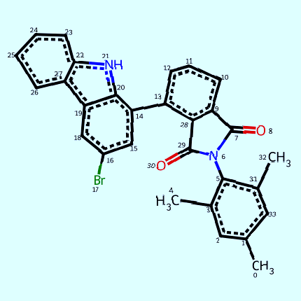 Cc1cc(C)c(N2C(=O)c3cccc(-c4cc(Br)cc5c4[nH]c4ccccc45)c3C2=O)c(C)c1